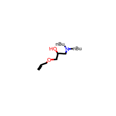 C=CCOCC(O)CN(CCCC)CCCC